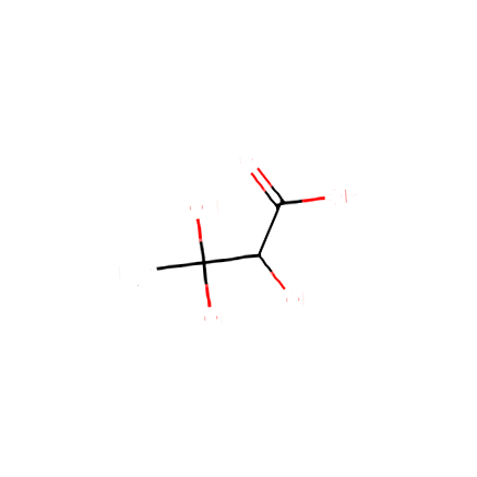 BC(O)(O)C(O)C(=O)O